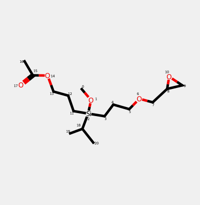 CO[Si](CCCOCC1CO1)(CCCOC(C)=O)C(C)C